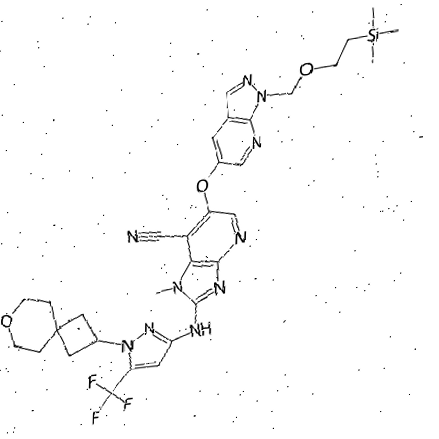 Cn1c(Nc2cc(C(F)(F)F)n(C3CC4(CCOCC4)C3)n2)nc2ncc(Oc3cnc4c(cnn4COCC[Si](C)(C)C)c3)c(C#N)c21